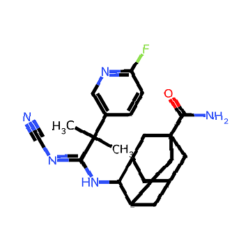 CC(C)(/C(=N\C#N)NC1C2CC3CC1CC(C(N)=O)(C3)C2)c1ccc(F)nc1